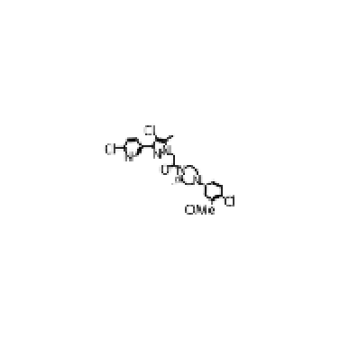 COc1cc(N2CCN(C(=O)Cn3nc(-c4ccc(Cl)nc4)c(Cl)c3C)[C@@H](C)C2)ccc1Cl